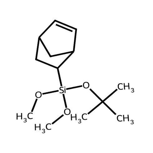 CO[Si](OC)(OC(C)(C)C)C1CC2C=CC1C2